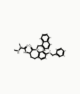 CN[C@@H](C)C(=O)NC1CCc2ccc(OCc3ccccc3)cc2N(Cc2c(C)ccc3ccccc23)C1=O